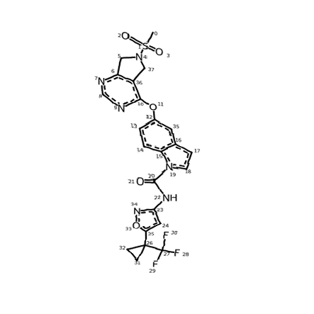 CS(=O)(=O)N1Cc2ncnc(Oc3ccc4c(ccn4C(=O)Nc4cc(C5(C(F)(F)F)CC5)on4)c3)c2C1